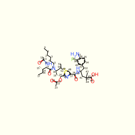 CCCCCCN(C(=O)[C@@H](NC(C)=O)[C@@H](C)CC)[C@H](C[C@@H](OC(C)=O)c1nc(C(=O)N[C@@H](Cc2ccc(N)c(F)c2)CC(C)(C)C(=O)O)cs1)C(C)C